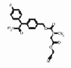 CN(CC(=O)OCC#N)C(=O)OCc1ccc(C(C(N)=O)c2ccc(F)cc2)cc1